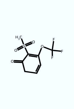 CS(=O)(=O)C1=C(OC(F)(F)F)C=CCC1=O